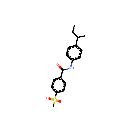 CCC(C)c1ccc(NC(=O)c2ccc(S(C)(=O)=O)cc2)cc1